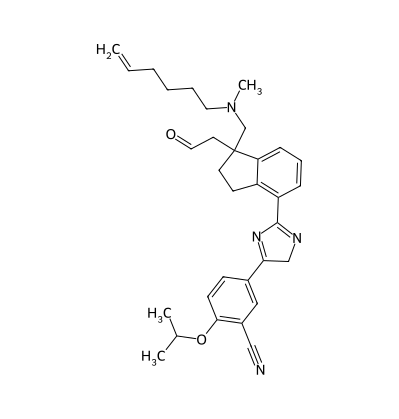 C=CCCCCN(C)CC1(CC=O)CCc2c(C3=NCC(c4ccc(OC(C)C)c(C#N)c4)=N3)cccc21